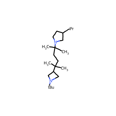 CC(C)C1CCN(C(C)(C)CCC(C)(C)C2CN(C(C)(C)C)C2)C1